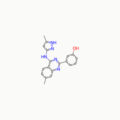 Cc1ccc2c(Nc3cc(C)[nH]n3)nc(-c3cccc(O)c3)nc2c1